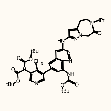 Cc1c(-c2cc(NC(=O)OC(C)(C)C)c3nnc(Nc4cc5n(n4)CC(=O)N(C(C)C)CC5)cc3c2)cncc1N(C(=O)OC(C)(C)C)C(=O)OC(C)(C)C